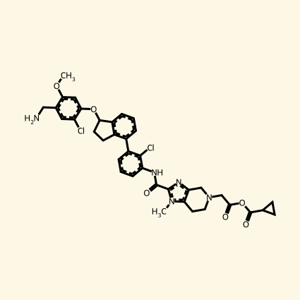 COc1cc(OC2CCc3c(-c4cccc(NC(=O)c5nc6c(n5C)CCN(CC(=O)OC(=O)C5CC5)C6)c4Cl)cccc32)c(Cl)cc1CN